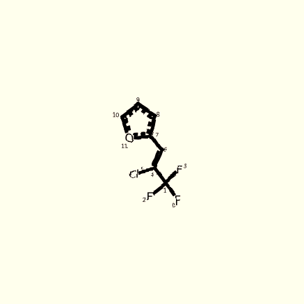 FC(F)(F)C(Cl)=Cc1ccco1